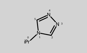 CC(C)n1cnnc1